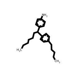 CCCCCCC(c1ccc(N)cc1)c1ccc(CCCCC)cc1